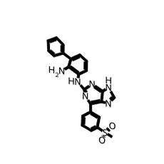 CS(=O)(=O)c1cccc(-c2nc(Nc3cccc(-c4ccccc4)c3N)nc3[nH]cnc23)c1